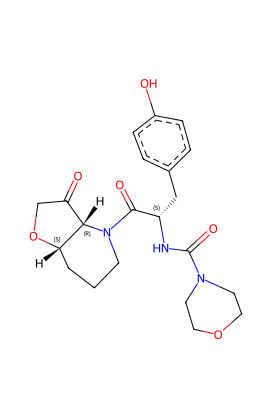 O=C1CO[C@H]2CCCN(C(=O)[C@H](Cc3ccc(O)cc3)NC(=O)N3CCOCC3)[C@@H]12